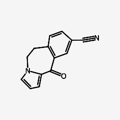 N#Cc1ccc2c(c1)C(=O)c1cccn1CC2